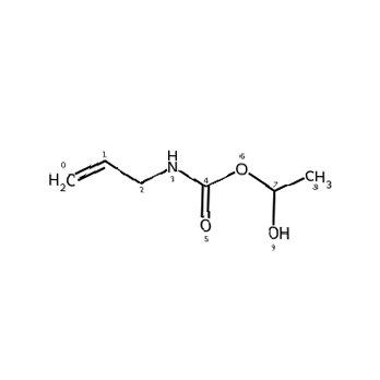 C=CCNC(=O)OC(C)O